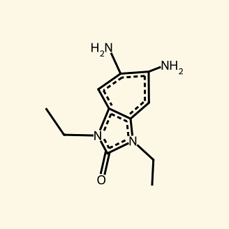 CCn1c(=O)n(CC)c2cc(N)c(N)cc21